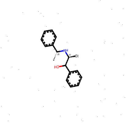 CC[C@H](N[C@H](C)c1ccccc1)C(O)c1ccccc1